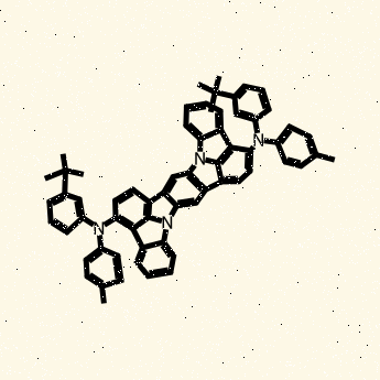 Cc1ccc(N(c2cccc(C(C)(C)C)c2)c2ccc3c4cc5c(cc4n4c6ccccc6c2c34)c2ccc(N(c3ccc(C)cc3)c3cccc(C(C)(C)C)c3)c3c4ccccc4n5c23)cc1